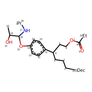 CCCCCCCCCCCCCC(CCOC(=O)CC)c1ccc(OC(NC(C)C)C(C)O)cc1